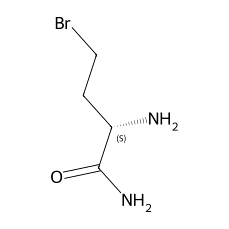 NC(=O)[C@@H](N)CCBr